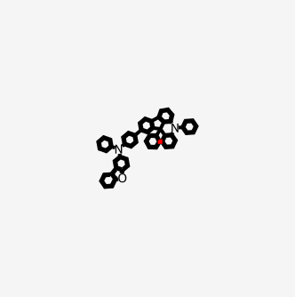 c1ccc(N(c2ccc(-c3ccc4c(c3)C3(c5ccccc5)c5ccccc5N(c5ccccc5)c5cccc-4c53)cc2)c2ccc3oc4ccccc4c3c2)cc1